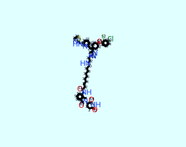 O=C1CCC(N2Cc3c(NC(=O)CCCCCCCCCNCCn4cc(C5(Cc6cccc(Nc7nccs7)n6)CCC(Oc6cccc(Cl)c6F)CC5)nn4)cccc3C2=O)C(=O)N1